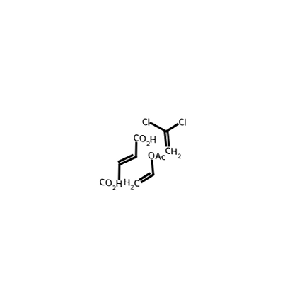 C=C(Cl)Cl.C=COC(C)=O.O=C(O)C=CC(=O)O